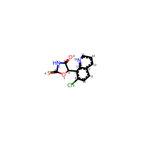 O=C1NC(=S)OC1c1c(Cl)ccc2cccnc12